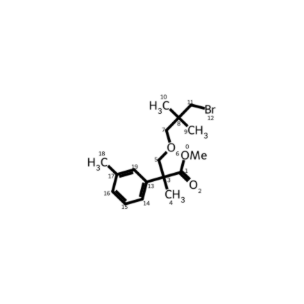 COC(=O)C(C)(COCC(C)(C)CBr)c1cccc(C)c1